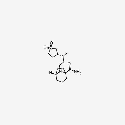 CN(CCN1[C@@H]2C[CH]C[C@@]1(C(N)=O)CC2)[C@@H]1CCS(=O)(=O)C1